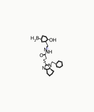 Bc1ccc(O)c(/C=N/NC(=O)CSc2nc3ccccc3n2Cc2ccccc2)c1